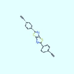 C#Cc1ccc(-c2nc3sc(-c4ccc(C#C)cc4)nc3s2)cc1